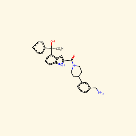 NCc1cccc(C2CCN(C(=O)c3cc4c([C@@](O)(C(=O)O)c5ccccc5)cccc4[nH]3)CC2)c1